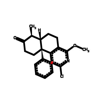 COc1nc(Cl)nc2c1CC[C@H]1[C@H](C)C(=O)CC[C@]21c1ccccc1